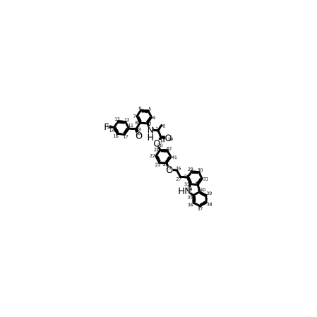 CC(Nc1ccccc1C(=O)c1ccc(F)cc1)C(=O)Oc1ccc(OCCc2cccc3c2[nH]c2ccccc23)cc1